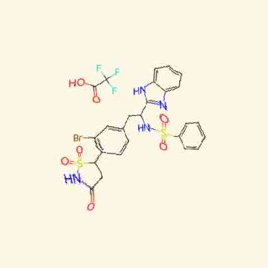 O=C(O)C(F)(F)F.O=C1CC(c2ccc(CC(NS(=O)(=O)c3ccccc3)c3nc4ccccc4[nH]3)cc2Br)S(=O)(=O)N1